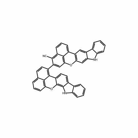 N#Cc1c(-c2ccc3cccc4c3c2-c2ccc3c([nH]c5ccccc53)c2O4)cc2c3c(cccc13)-c1cc3c(cc1O2)[nH]c1ccccc13